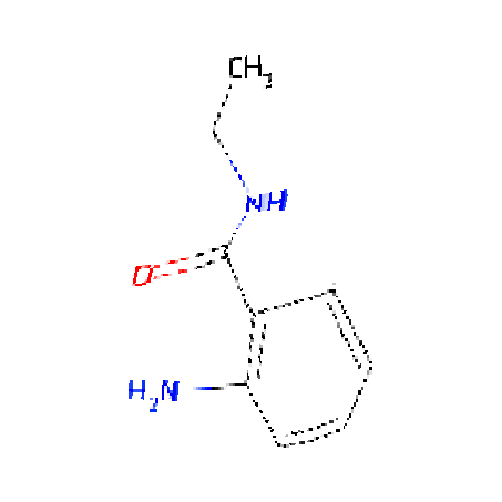 CCNC(=O)c1[c]cccc1N